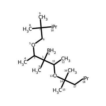 BC(C)(C(C)OCC(C)(C)C(C)C)C(C)OC(C)(C)CC(C)C